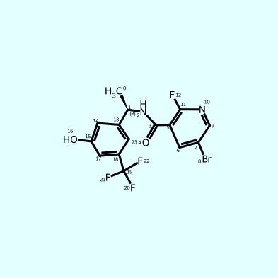 C[C@@H](NC(=O)c1cc(Br)cnc1F)c1cc(O)cc(C(F)(F)F)c1